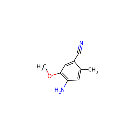 COc1cc(C#N)c(C)cc1N